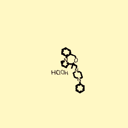 CC1(CN2CCN(c3ccccc3)CC2)OCc2ccccc2-n2cccc21.Cl.Cl